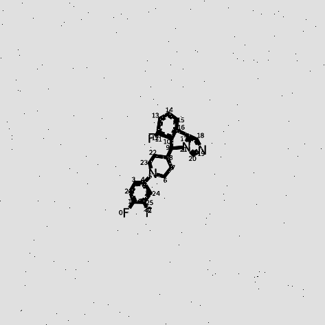 Fc1ccc(N2CCC(C3c4c(F)cccc4-c4cncn43)CC2)cc1F